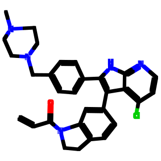 C=CC(=O)N1CCc2ccc(-c3c(-c4ccc(CN5CCN(C)CC5)cc4)[nH]c4nccc(Cl)c34)cc21